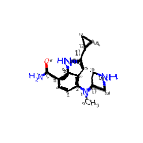 CN(c1ccc(C(N)=O)c2[nH]c(C3CC3)cc12)C1CNC1